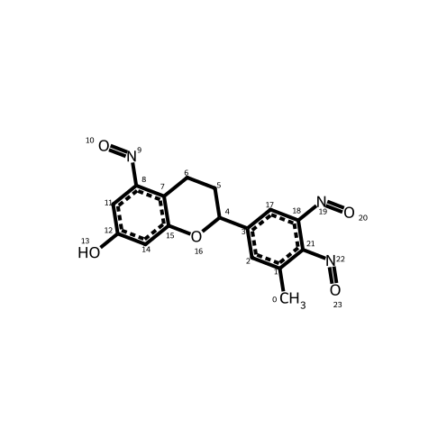 Cc1cc(C2CCc3c(N=O)cc(O)cc3O2)cc(N=O)c1N=O